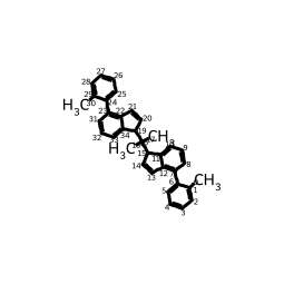 Cc1ccccc1-c1cccc2c1C=CC2C(C)(C)C1C=Cc2c(-c3ccccc3C)cccc21